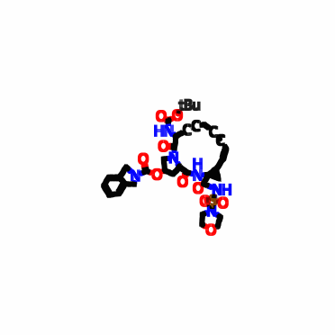 CC(C)(C)OC(=O)NC1CCCCCC=CC2CC2(C(=O)NS(=O)(=O)N2CCOCC2)NC(=O)C2CC(OC(=O)N3Cc4ccccc4C3)CN2C1=O